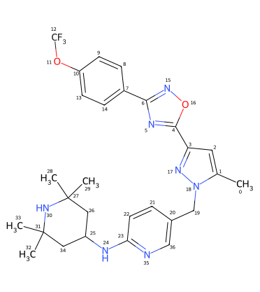 Cc1cc(-c2nc(-c3ccc(OC(F)(F)F)cc3)no2)nn1Cc1ccc(NC2CC(C)(C)NC(C)(C)C2)nc1